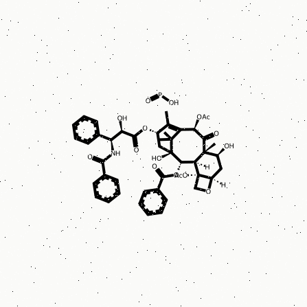 CC(=O)O[C@H]1C(=O)[C@@]2(C)[C@H]([C@H](OC(=O)c3ccccc3)[C@]3(O)C[C@H](OC(=O)[C@H](O)[C@@H](NC(=O)c4ccccc4)c4ccccc4)C(C)=C1C3(C)C)[C@]1(OC(C)=O)CO[C@@H]1C[C@@H]2O.O=PO